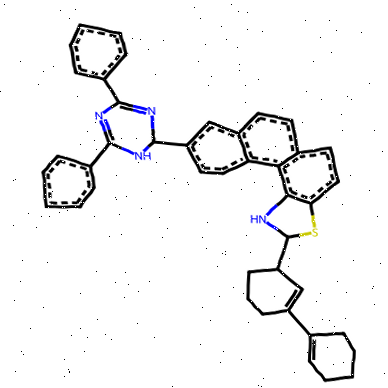 C1=C(C2=CC(C3Nc4c(ccc5ccc6cc(C7N=C(c8ccccc8)N=C(c8ccccc8)N7)ccc6c45)S3)CCC2)CCCC1